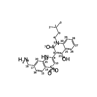 CC(C)CCn1c(=O)c(C2=CS(=O)(=O)c3ccc(CN)cc3N2)c(O)c2ccccc21